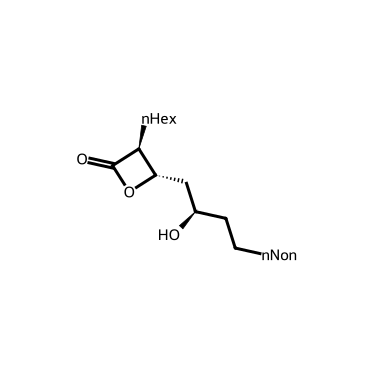 CCCCCCCCCCC[C@@H](O)C[C@@H]1OC(=O)[C@H]1CCCCCC